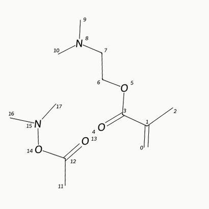 C=C(C)C(=O)OCCN(C)C.CC(=O)ON(C)C